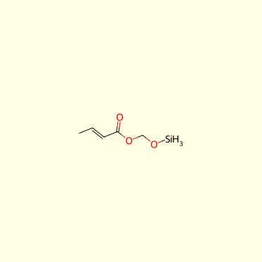 CC=CC(=O)OCO[SiH3]